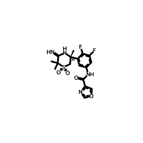 CC1(C)C(=N)N[C@](C)(c2cc(NC(=O)c3cocn3)cc(F)c2F)CS1(=O)=O